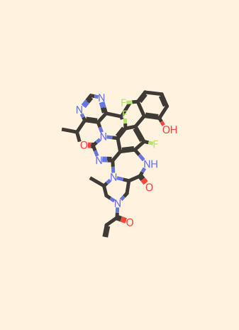 C=CC(=O)N1CC(C)N2c3nc(=O)n(-c4c(C(C)C)ncnc4C(C)C)c4c(F)c(-c5c(O)cccc5F)c(F)c(c34)NC(=O)C2C1